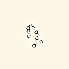 CN(Cc1ccc2c(c1)CN(N1CCC(=O)NC1=O)C2=O)C1CCN(c2ccc(Nc3ncc4nc(Nc5ccccc5)n(C5CCCC5)c4n3)cc2)CC1